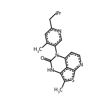 Cc1cc(CC(C)C)ncc1N1C(=O)Nc2c(C)sc3nccc1c23